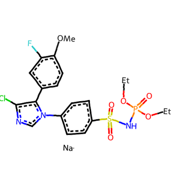 CCOP(=O)(NS(=O)(=O)c1ccc(-n2cnc(Cl)c2-c2ccc(OC)c(F)c2)cc1)OCC.[Na]